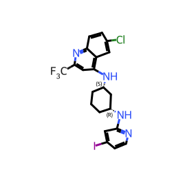 FC(F)(F)c1cc(N[C@H]2CCC[C@@H](Nc3cc(I)ccn3)C2)c2cc(Cl)ccc2n1